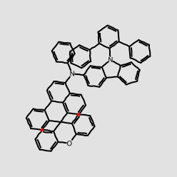 c1ccc(-c2cccc(-c3ccccc3)c2-n2c3ccccc3c3ccc(N(c4ccccc4)c4ccc5c6c(cccc46)C4(c6ccccc6Oc6ccccc64)c4ccccc4-5)cc32)cc1